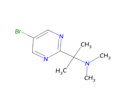 CN(C)C(C)(C)c1ncc(Br)cn1